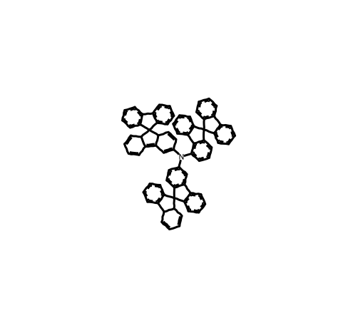 C1=CC2=C3C=C(N(c4ccc5c(c4)-c4ccccc4C54c5ccccc5C5C=CC=CC54)c4cccc5c4-c4ccccc4C54c5ccccc5-c5ccccc54)C=CC3C3(c4ccccc4-c4ccccc43)C2C=C1